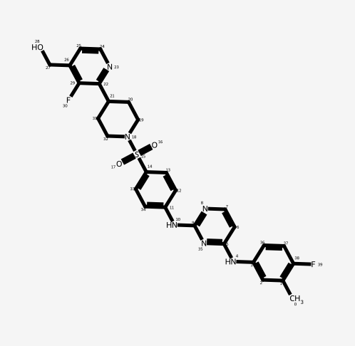 Cc1cc(Nc2ccnc(Nc3ccc(S(=O)(=O)N4CCC(c5nccc(CO)c5F)CC4)cc3)n2)ccc1F